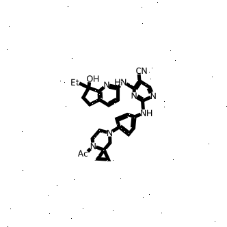 CCC1(O)CCc2ccc(Nc3nc(Nc4ccc(N5CCN(C(C)=O)C6(CC6)C5)cc4)ncc3C#N)nc21